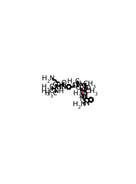 CCOCc1nc2c(N)nc3ccccc3c2n1CC(C)(C)OC(=O)N(C)CCN(C)C(=O)OCc1ccc(NC(=O)[C@H](CCCCN)NC(=O)[C@@H](NC)C(C)C)cc1